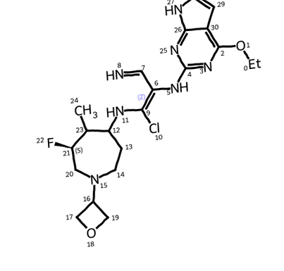 CCOc1nc(N/C(C=N)=C(\Cl)NC2CCN(C3COC3)C[C@@H](F)C2C)nc2[nH]ccc12